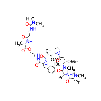 CC[C@H](C)[C@@H]([C@@H](CC(=O)N1CCC[C@H]1[C@H](OC)[C@@H](C)C(=O)N[C@@H](Cc1ccccc1)C(=O)NCCCOC(=O)C(C)NC(=O)CCNC(=O)N(C)C)OC)N(C)C(=O)C(NC(=O)[C@H](C(C)C)N(C)C)C(C)C